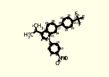 CC(C)c1cn(-c2ccc([N+](=O)[O-])cc2)c2cc(-c3ccc(C(F)(F)F)cc3)ccc12